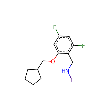 Fc1cc(F)c(CNI)c(OCC2CCCC2)c1